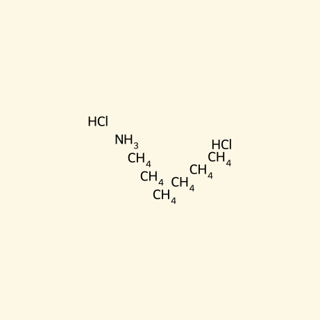 C.C.C.C.C.C.Cl.Cl.N